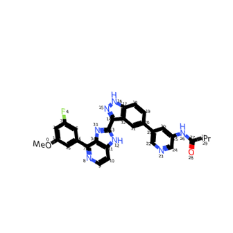 COc1cc(F)cc(-c2nccc3[nH]c(-c4n[nH]c5ccc(-c6cncc(NC(=O)C(C)C)c6)cc45)nc23)c1